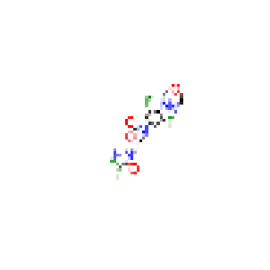 O=C(NC[C@H]1CN(c2cc(F)c(N3CCOCC=N3)c(F)c2)C(=O)O1)C(F)F